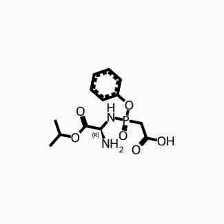 CC(C)OC(=O)[C@H](N)NP(=O)(CC(=O)O)Oc1ccccc1